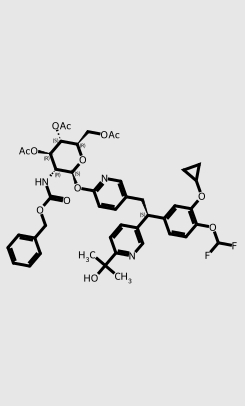 CC(=O)OC[C@H]1O[C@@H](Oc2ccc(C[C@H](c3ccc(C(C)(C)O)nc3)c3ccc(OC(F)F)c(OC4CC4)c3)cn2)[C@H](NC(=O)OCc2ccccc2)[C@@H](OC(C)=O)[C@@H]1OC(C)=O